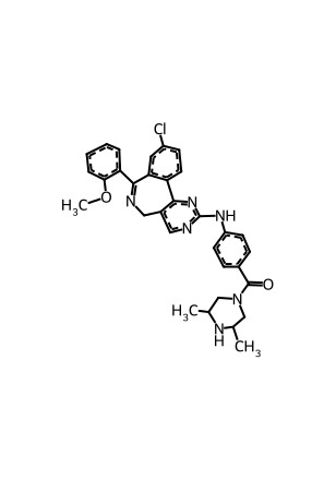 COc1ccccc1C1=NCc2cnc(Nc3ccc(C(=O)N4CC(C)NC(C)C4)cc3)nc2-c2ccc(Cl)cc21